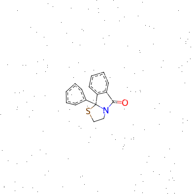 O=C1c2ccccc2C2(c3ccccc3)SCCN12